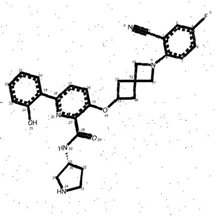 N#Cc1cc(F)ccc1N1CC2(CC(Oc3ccc(-c4ccccc4O)nc3C(=O)N[C@@H]3CCNC3)C2)C1